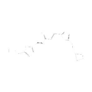 O=C(/C=C/c1ccc(CO)o1)/C=C/c1ccc(COC2CCC2)o1